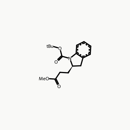 COC(=O)CC[C@@H]1Cc2ccccc2N1C(=O)OC(C)(C)C